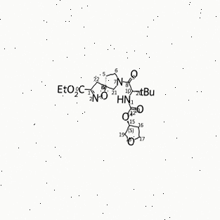 CCOC(=O)C1=NO[C@@]2(CCN(C(=O)C(NC(=O)O[C@H]3CCOC3)C(C)(C)C)C2)C1